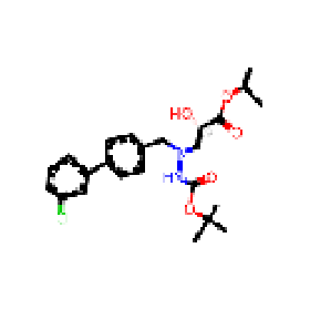 CC(C)OC(=O)[C@@H](O)CN(Cc1ccc(-c2cccc(Cl)c2)cc1)NC(=O)OC(C)(C)C